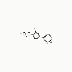 Cc1cc(C2=CC=CSN=C2)ccc1C(=O)O